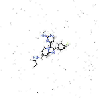 CCC(C)NCc1ccn2c(-c3ccnc(NC)n3)c(-c3ccc(F)cc3)nc2c1